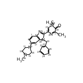 Cc1nc(-c2nc3ccc(N4CCN(C)CC4)cc3n2Cc2ccccc2)cn(C)c1=O